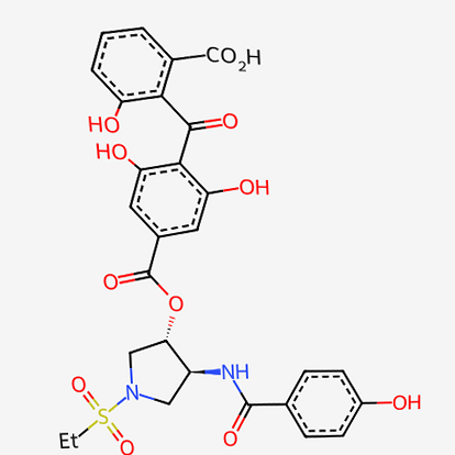 CCS(=O)(=O)N1C[C@H](NC(=O)c2ccc(O)cc2)[C@@H](OC(=O)c2cc(O)c(C(=O)c3c(O)cccc3C(=O)O)c(O)c2)C1